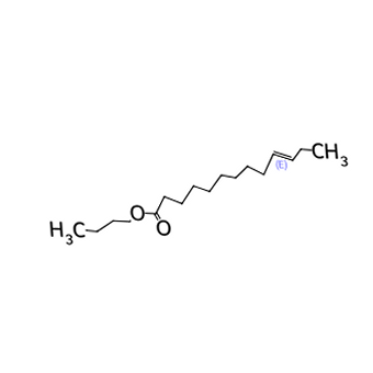 CC/C=C/CCCCCCCCC(=O)OCCCC